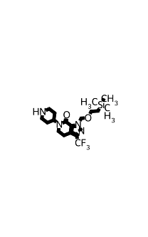 C[Si](C)(C)CCOCn1nc(C(F)(F)F)c2c1C(=O)N(C1CCNCC1)CC2